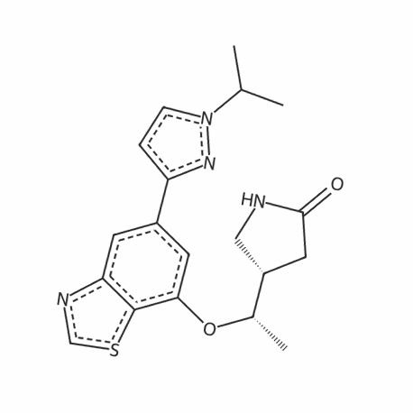 CC(C)n1ccc(-c2cc(O[C@@H](C)[C@@H]3CNC(=O)C3)c3scnc3c2)n1